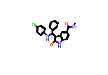 CNC(=O)c1ccc2c(c1)/C(=C(/Nc1ccc(Cl)cc1)c1ccccc1)C(=O)N2